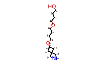 OCCCCOCCCCOC1CC2(CNC2)C1